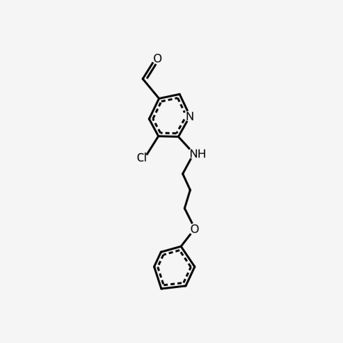 O=Cc1cnc(NCCCOc2ccccc2)c(Cl)c1